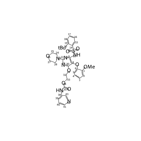 COc1ccccc1Oc1c(NS(=O)(=O)c2ccccc2C(C)(C)C)nc(N2CCOCC2)nc1OCCOC(=O)Nc1cccnc1